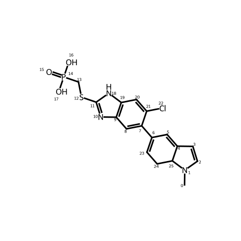 CN1C=CC2=CC(c3cc4nc(SCP(=O)(O)O)[nH]c4cc3Cl)=CCC21